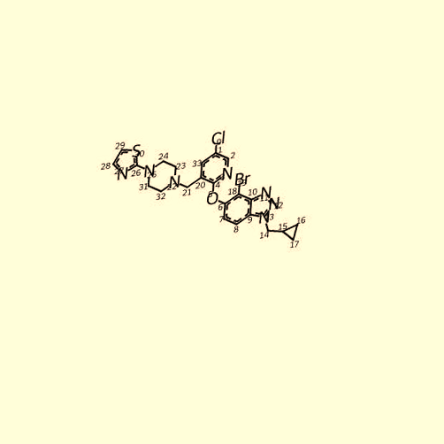 Clc1cnc(Oc2ccc3c(nnn3CC3CC3)c2Br)c(CN2CCN(c3nccs3)CC2)c1